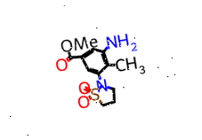 COC(=O)c1cc(N)c(C)c(N2CCCS2(=O)=O)c1